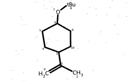 C=C(C)C1CCC(OC(C)(C)C)CC1